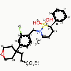 CCOC(=O)CCC1(c2ccc(CN3[C@@H](C)CC[C@H](c4ccccc4)S3(O)O)c(F)c2)CCOCC1